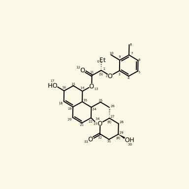 CC[C@H](Oc1cccc(C)c1C)C(=O)OC1CC(O)C=C2C=CC(C)C(CC[C@@H]3C[C@@H](O)CC(=O)O3)C21